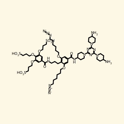 [N-]=[N+]=NCCCCCCOc1cc(C(=O)NC2CCN(c3nc(N4CCC(N)CC4)nc(N4CCC(N)CC4)n3)CC2)cc(OCCCCCCN=[N+]=[N-])c1CCCNC(=O)c1cc(OCCCS(=O)(=O)O)c(OCCCS(=O)(=O)O)c(OCCCS(=O)(=O)O)c1